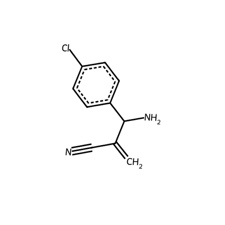 C=C(C#N)C(N)c1ccc(Cl)cc1